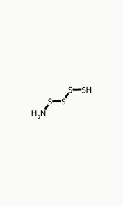 NSSSS